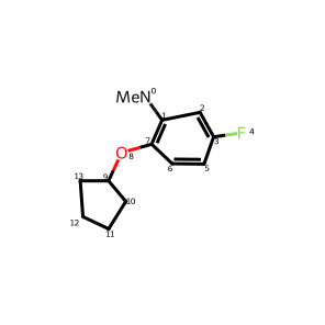 CNc1cc(F)ccc1OC1CCCC1